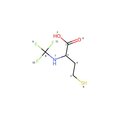 O=C(O)C(CCS)NC(F)(F)F